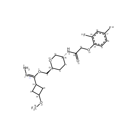 N/N=C(\OC[C@@H]1CC[C@@H](NC(=O)COc2ccc(F)cc2F)CO1)C1CC(OC(F)(F)F)C1